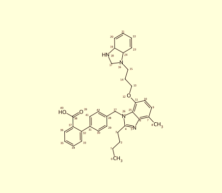 CCCCc1nc2c(C)ccc(OCCCN3CNC4C=CC=CC43)c2n1Cc1ccc(-c2ccccc2C(=O)O)cc1